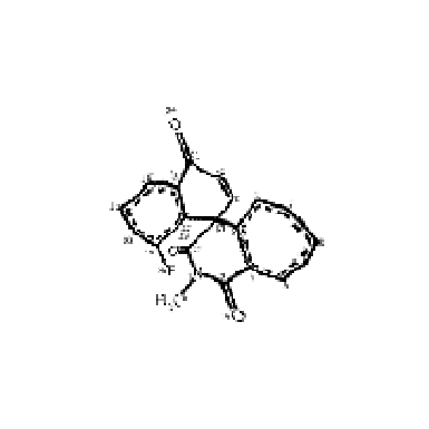 CN1C(=O)c2ccccc2C2(C=CC(=O)c3cccc(F)c32)C1=O